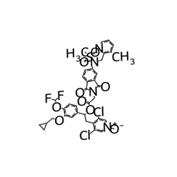 Cc1cccnc1CN(c1ccc2c(c1)C(=O)N(CC(=O)OC(Cc1c(Cl)c[n+]([O-])cc1Cl)c1ccc(OC(F)F)c(OCC3CC3)c1)C2=O)S(C)(=O)=O